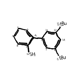 CC(C)(C)c1cc(-c2ccccc2S)cc(C(C)(C)C)c1